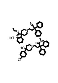 CCOC(=O)C1(c2ccccc2)CCN(CCC(C#N)(c2ccccc2)c2ccccc2)CC1.CN(C)C(=O)C(CCN1CCC(O)(c2ccc(Cl)cc2)CC1)(c1ccccc1)c1ccccc1.Cl